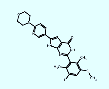 COc1cc(F)c(C)c(-c2nc3[nH]c(-c4ccc(N5CCOCC5)nc4)cc3c(=O)[nH]2)c1C